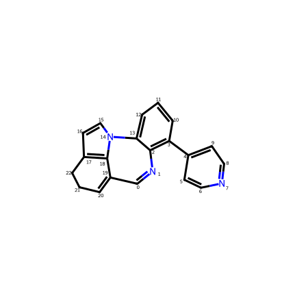 C1=Nc2c(-c3ccncc3)cccc2-n2ccc3c2C1=CCC3